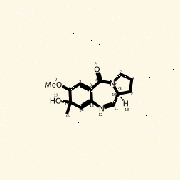 COC1C=C2C(=O)N3CCC[C@H]3C=NC2=CC1(C)O